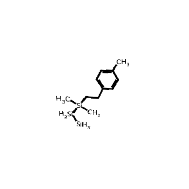 Cc1ccc(CC[Si](C)(C)[SiH2][SiH3])cc1